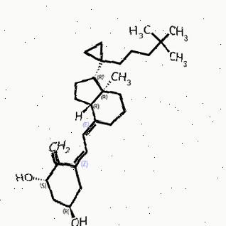 C=C1/C(=C\C=C2/CCC[C@]3(C)[C@@H](C4(CCCC(C)(C)C)CC4)CC[C@@H]23)C[C@@H](O)C[C@@H]1O